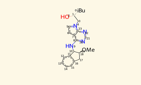 CC[C@@H](C)[C@@H](O)Cn1ccc2c(NC3c4ccccc4C[C@@H]3OC)ncnc21